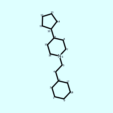 C1CCC(CCN2CCC(C3CCCC3)CC2)CC1